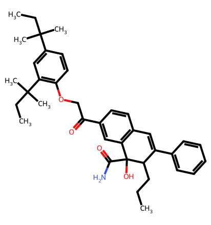 CCCC1C(c2ccccc2)=Cc2ccc(C(=O)COc3ccc(C(C)(C)CC)cc3C(C)(C)CC)cc2C1(O)C(N)=O